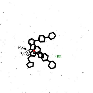 Cl.Cl.[CH3][Zr]([CH3])(=[SiH2])([CH]1C(CC2CCCC2)=Cc2c(-c3ccc(C4CCCCC4)cc3)cccc21)[CH]1C(CC2CCCC2)=Cc2c(-c3ccc(C4CCCCC4)cc3)cccc21